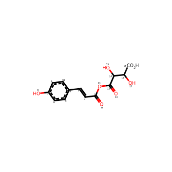 O=C(/C=C/c1ccc(O)cc1)OC(=O)C(O)C(O)C(=O)O